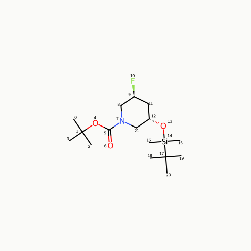 CC(C)(C)OC(=O)N1C[C@@H](F)C[C@H](O[Si](C)(C)C(C)(C)C)C1